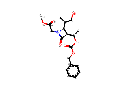 C[C@@H](CO)[C@@H]1[C@@H]([C@@H](C)OC(=O)OCc2ccccc2)C(=O)N1CC(=O)OC(C)(C)C